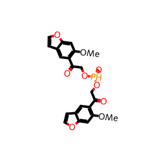 COc1cc2occc2cc1C(=O)CO[PH](=O)OCC(=O)c1cc2ccoc2cc1OC